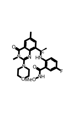 CONC(=O)c1cc(F)ccc1N[C@H](C)c1cc(C)cc2c(=O)n(C)c(N3CCOCC3)nc12